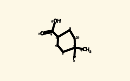 CC1(F)CCC(C(=O)O)CC1